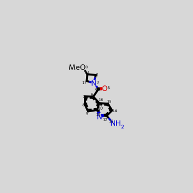 COC1CN(C(=O)c2cccc3nc(N)ccc23)C1